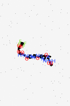 CCCN(CCCNC(=O)OC(C)(C)C)C(=O)C1=Cc2ccc(C(=O)Nc3ccc(N4CCC(C(=O)NCCNC(=O)CC(C)(C)OCCC(C)(C)C(=O)Oc5c(F)c(F)cc(F)c5F)CC4)nc3)cc2N=C(N)C1